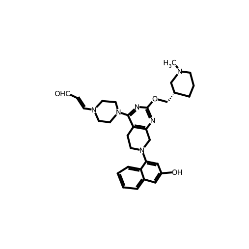 CN1CCC[C@H](COc2nc3c(c(N4CCN(C=CC=O)CC4)n2)CCN(c2cc(O)cc4ccccc24)C3)C1